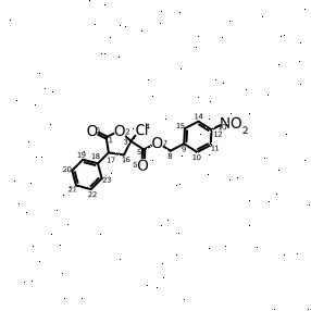 O=C1OC(Cl)(C(=O)OCc2ccc([N+](=O)[O-])cc2)CC1c1ccccc1